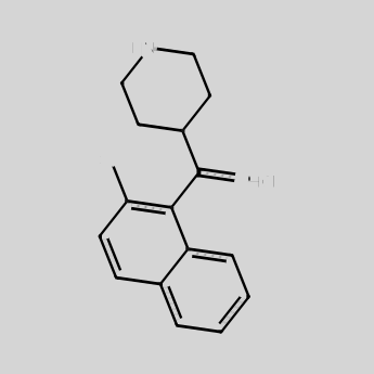 Cl.O=C(c1c(Cl)ccc2ccccc12)C1CCNCC1